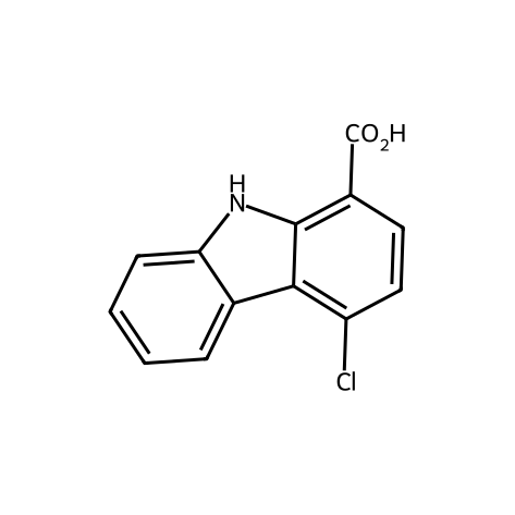 O=C(O)c1ccc(Cl)c2c1[nH]c1ccccc12